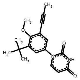 CC#Cc1cc(-n2ccc(=O)[nH]c2=O)cc(C(C)(C)C)c1OC